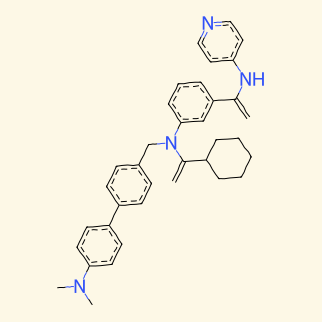 C=C(Nc1ccncc1)c1cccc(N(Cc2ccc(-c3ccc(N(C)C)cc3)cc2)C(=C)C2CCCCC2)c1